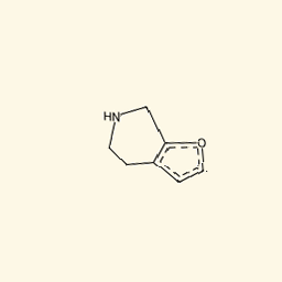 [c]1cc2c(o1)CNCC2